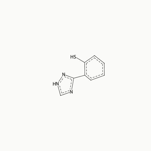 Sc1ccccc1-c1nc[nH]n1